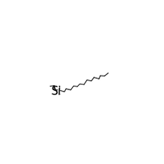 CC=C[Si](C)(C)CCCCCCCCCCCCCC